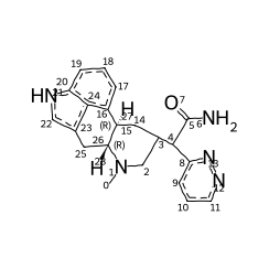 CN1CC(C(C(N)=O)c2cccnn2)C[C@@H]2c3cccc4[nH]cc(c34)C[C@H]21